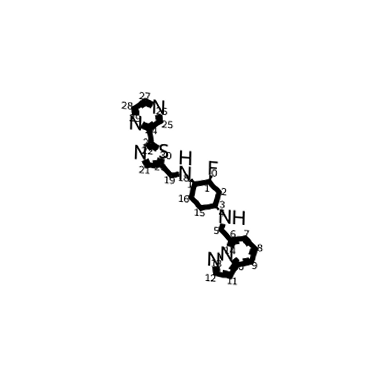 F[C@H]1C[C@H](NCc2cccc3ccnn23)CC[C@H]1NCc1cnc(-c2cnccn2)s1